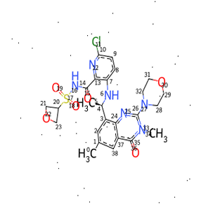 Cc1cc([C@@H](C)Nc2ccc(Cl)nc2C(=O)NS(=O)(=O)C2COC2)c2nc(N3CCOCC3)n(C)c(=O)c2c1